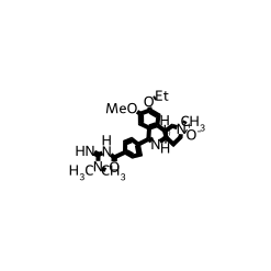 CCOc1cc2c(cc1OC)C(c1ccc(C(=O)NC(=N)N(C)C)cc1)=N[C@@H]1CC[N+](C)([O-])C[C@H]21